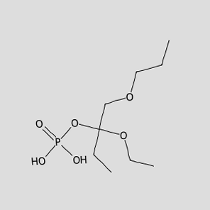 CCCOCC(CC)(OCC)OP(=O)(O)O